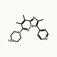 Cc1nc2c(C)c(C)c(N3CCNCC3)nn2c1-c1ccncc1